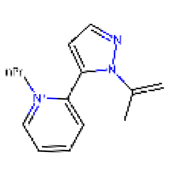 C=C(C)n1nccc1-c1cccc[n+]1CCC